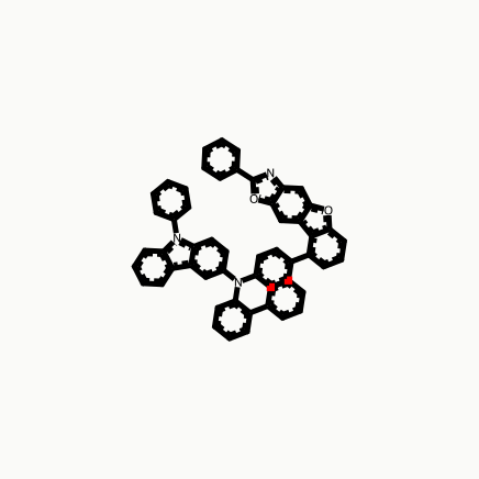 c1ccc(-c2nc3cc4oc5cccc(-c6ccc(N(c7ccc8c(c7)c7ccccc7n8-c7ccccc7)c7ccccc7-c7ccccc7)cc6)c5c4cc3o2)cc1